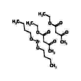 CCCC[O][Zr][O]CCCC.CCOC(=O)CC(C)=O.CCOC(=O)CC(C)=O